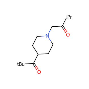 CC(C)C(=O)CN1CCC(C(=O)C(C)(C)C)CC1